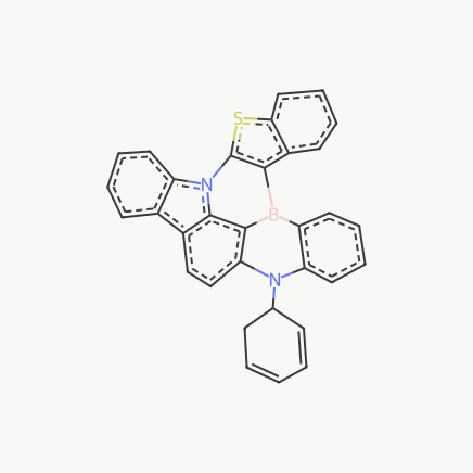 C1=CCC(N2c3ccccc3B3c4c(sc5ccccc45)-n4c5ccccc5c5ccc2c3c54)C=C1